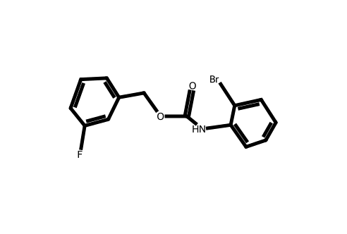 O=C(Nc1ccccc1Br)OCc1cccc(F)c1